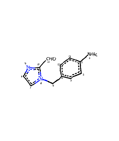 CC(=O)Nc1ccc(Cn2[c]cnc2C=O)cc1